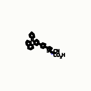 N#C/C(=C\c1ccc(-c2ccc(-c3ccc(N(c4ccccc4)c4cccc5ccccc45)cc3)cc2)s1)C(=O)O